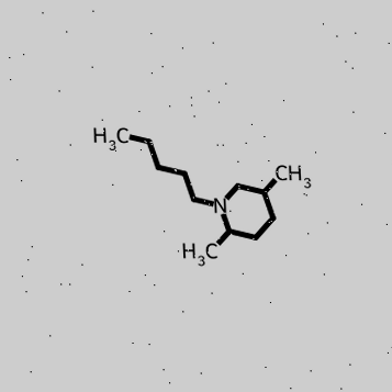 CCCCCN1CC(C)CCC1C